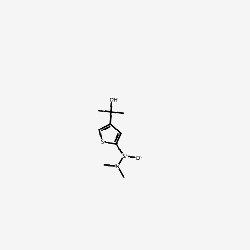 CN(C)[S+]([O-])c1cc(C(C)(C)O)cs1